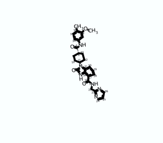 COc1cc(NC(=O)[C@H]2CC[C@@H](n3c(=O)[nH]c4c(C(=O)NCc5ncccn5)cccc43)CC2)ccc1C